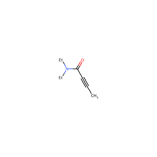 CC#CC(=O)N(CC)CC